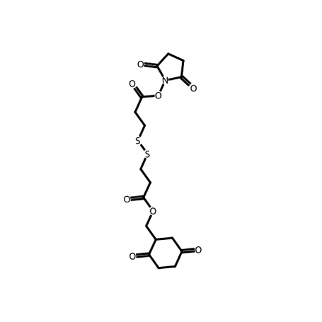 O=C1CCC(=O)C(COC(=O)CCSSCCC(=O)ON2C(=O)CCC2=O)C1